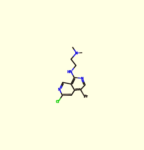 CC(C)c1cnc(NCCN(C)C)c2cnc(Cl)cc12